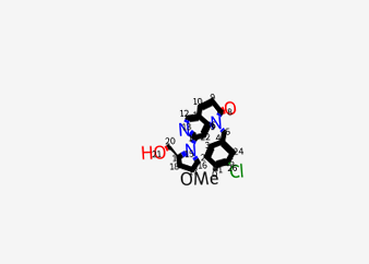 COc1ccc(Cn2c(=O)ccc3cnc(N4CCC[C@H]4CO)cc32)cc1Cl